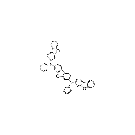 c1ccc(N(c2ccc3c(c2)oc2ccccc23)c2ccc3c(c2)oc2cc(N(c4ccccc4)c4ccc5c(c4)oc4ccccc45)ccc23)cc1